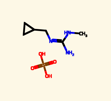 CN/C(N)=N\CC1CC1.O=S(=O)(O)O